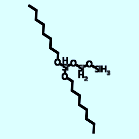 CCCCCCCCO[SiH](OCCCCCCCC)O[SiH2]O[SiH3]